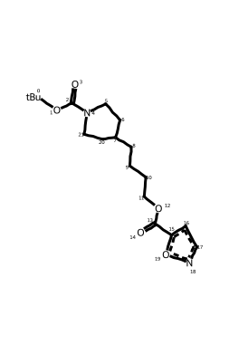 CC(C)(C)OC(=O)N1CCC(CCCCOC(=O)c2ccno2)CC1